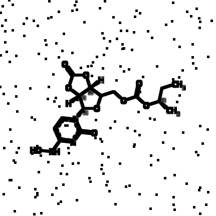 CC[C@@H](C)OC(=O)OCC1O[C@@H](n2ccc(NO)nc2=O)[C@@H]2OC(=O)O[C@H]12